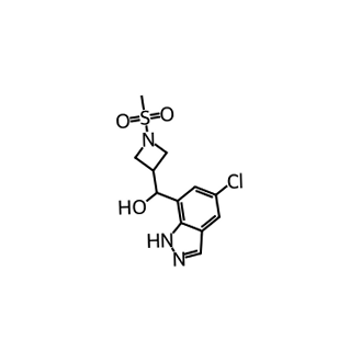 CS(=O)(=O)N1CC(C(O)c2cc(Cl)cc3cn[nH]c23)C1